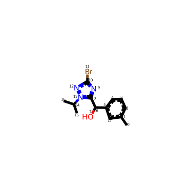 Cc1cccc(C(O)c2nc(Br)nn2C(C)C)c1